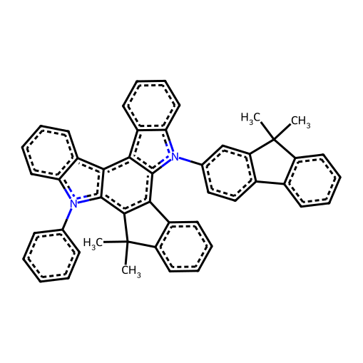 CC1(C)c2ccccc2-c2ccc(-n3c4ccccc4c4c5c6ccccc6n(-c6ccccc6)c5c5c(c43)-c3ccccc3C5(C)C)cc21